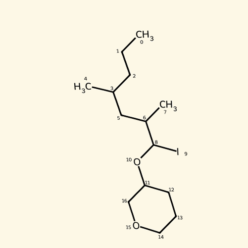 CCCC(C)CC(C)C(I)OC1CCCOC1